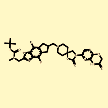 CN(Cc1nc2c(F)c3c(c(F)c2[nH]1)CC(CN1CCC2(CC1)CN(c1cnc4c(n1)NC(=O)CO4)C(=O)O2)C3)C(=O)OC(C)(C)C